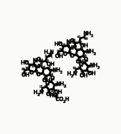 NCCC(O)C(=O)NC1CC(N)C(OC2OC(CN)C(O)C(O)C2N)C(O)C1OC1CC(N)C(O)C(CO)O1.NCCC(O)C(=O)NC1CC(N)C(OC2OC(CN)C(O)C(O)C2N)C(O)C1OC1CC(N)C(O)C(CO)O1.O=C(O)O